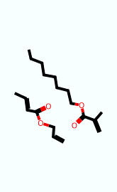 C=C(C)C(=O)OCCCCCCCC.C=CCOC(=O)C=CC